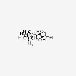 CC(C)(C)[Si](C)(C)OC1CO[C@H]2[C@@H]1OC[C@@H]2O